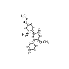 CCOc1ccc(-n2cc(-c3ccc(F)cc3)c(OC)cc2=O)c(C)c1